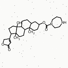 CC12CCC(OC(=O)N3CCCNCC3)CC1CCC1C2CCC2(C)C(C3=CC(=O)OC3)CCC12O